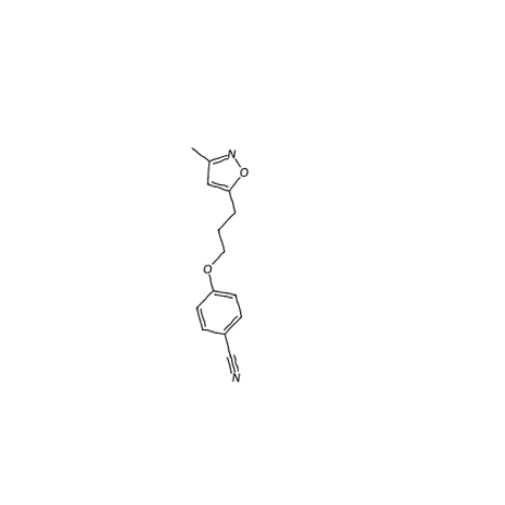 Cc1cc(CCCOc2ccc(C#N)cc2)on1